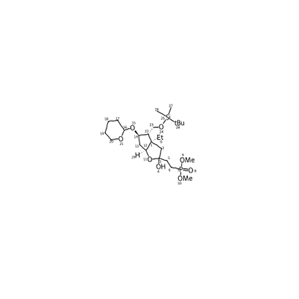 CC[C@]12CC(O)(CCP(=O)(OC)OC)O[C@H]1C[C@@H](OC1CCCCO1)[C@@H]2CO[Si](C)(C)C(C)(C)C